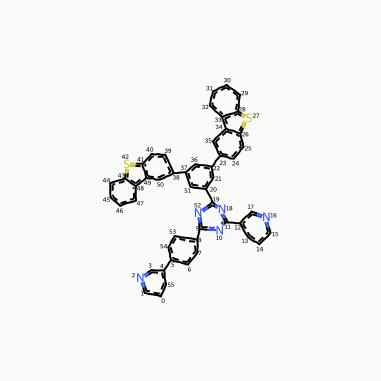 c1cncc(-c2ccc(-c3nc(-c4cccnc4)nc(-c4cc(-c5ccc6sc7ccccc7c6c5)cc(-c5ccc6sc7ccccc7c6c5)c4)n3)cc2)c1